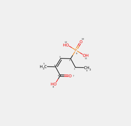 CCC(C=C(C)C(=O)O)P(=O)(O)O